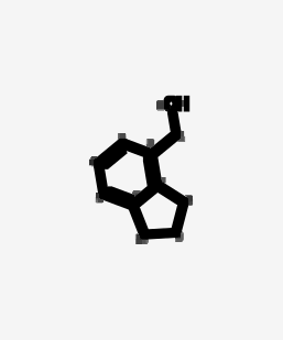 OCc1cccc2c1CCC2